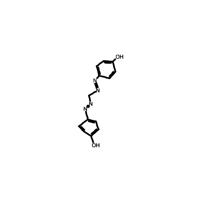 Oc1ccc(N=NCN=Nc2ccc(O)cc2)cc1